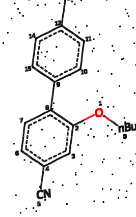 CCCCOc1cc(C#N)ccc1-c1ccc(C)cc1